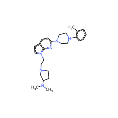 Cc1ccccc1N1CCN(c2ccc3ccn(CCN4CCC(N(C)C)C4)c3n2)CC1